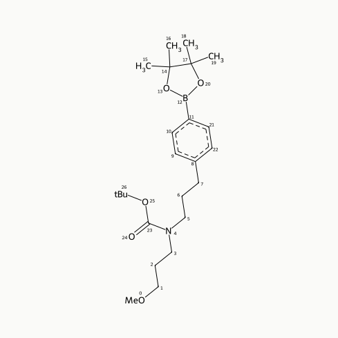 COCCCN(CCCc1ccc(B2OC(C)(C)C(C)(C)O2)cc1)C(=O)OC(C)(C)C